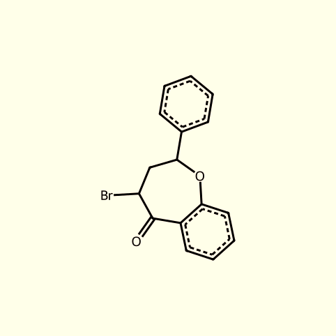 O=C1c2ccccc2OC(c2ccccc2)CC1Br